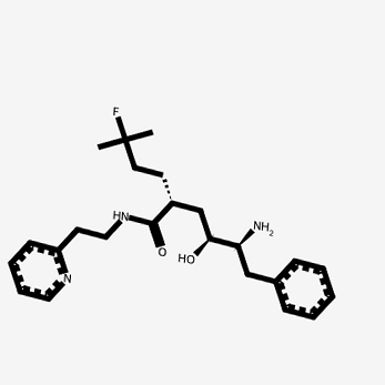 CC(C)(F)CC[C@H](C[C@H](O)[C@@H](N)Cc1ccccc1)C(=O)NCCc1ccccn1